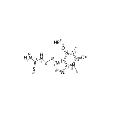 Br.Cn1c(=O)c2c(ncn2CCNC(N)=S)n(C)c1=O